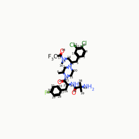 CC1CN(C(Cc2ccc(Cl)c(Cl)c2)CN(C)C(=O)C(F)(F)F)CCN1C(=O)C(Cc1ccc(F)cc1)NC(=O)C(C)(C)N